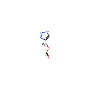 COC=O.c1c[nH]nn1